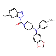 COc1ccc(N(c2ccc3c(c2)OCO3)C2CCN(C(=O)n3nnc4ccc(C#N)cc43)CC2)cc1